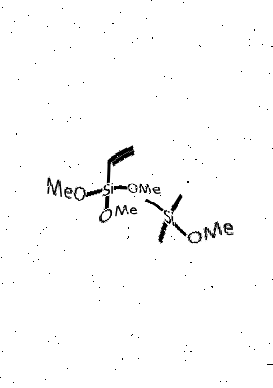 C=C[Si](OC)(OC)OC.CO[Si](C)(C)C